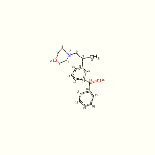 CC(CN1CCOCC1)c1cccc(C(=O)c2ccccc2)c1